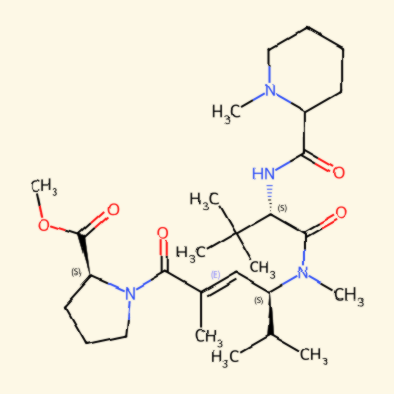 COC(=O)[C@@H]1CCCN1C(=O)/C(C)=C/[C@H](C(C)C)N(C)C(=O)[C@@H](NC(=O)C1CCCCN1C)C(C)(C)C